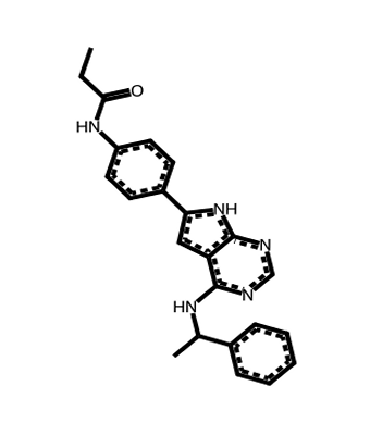 CCC(=O)Nc1ccc(-c2cc3c(NC(C)c4ccccc4)ncnc3[nH]2)cc1